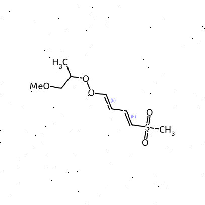 COCC(C)OO/C=C/C=C/S(C)(=O)=O